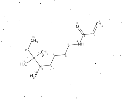 C=CC(=O)NCCCCN(C)C(C)(C)CC